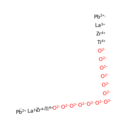 [La+3].[La+3].[O-2].[O-2].[O-2].[O-2].[O-2].[O-2].[O-2].[O-2].[O-2].[O-2].[O-2].[O-2].[O-2].[Pb+2].[Pb+2].[Ti+4].[Ti+4].[Zr+4].[Zr+4]